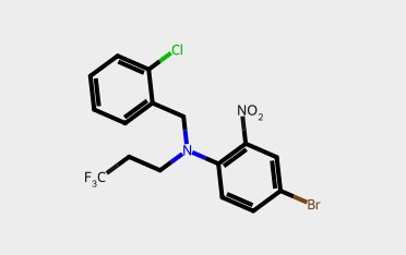 O=[N+]([O-])c1cc(Br)ccc1N(CCC(F)(F)F)Cc1ccccc1Cl